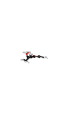 C=C(CO)CCOc1cc(OCCC(=C)CO)cc(-c2ccc(-c3ccc(CCC4CCC(CCCCC)CC4)cc3)cc2CC)c1